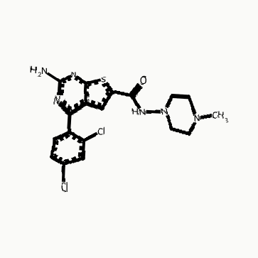 CN1CCN(NC(=O)c2cc3c(-c4ccc(Cl)cc4Cl)nc(N)nc3s2)CC1